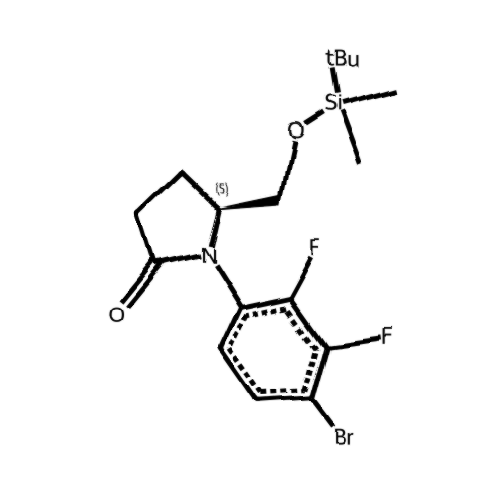 CC(C)(C)[Si](C)(C)OC[C@@H]1CCC(=O)N1c1ccc(Br)c(F)c1F